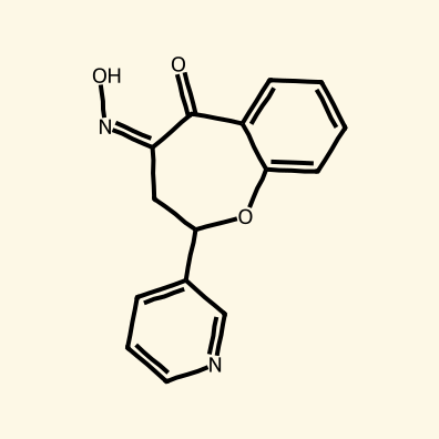 O=C1C(=NO)CC(c2cccnc2)Oc2ccccc21